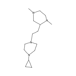 CN1CCN(C)C(CCN2CCN(C3CC3)CC2)C1